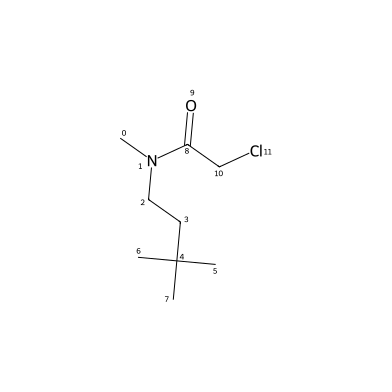 CN(CCC(C)(C)C)C(=O)CCl